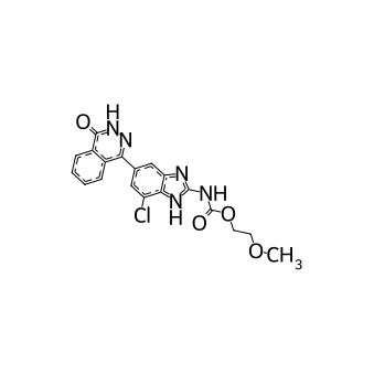 COCCOC(=O)Nc1nc2cc(-c3n[nH]c(=O)c4ccccc34)cc(Cl)c2[nH]1